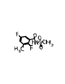 Cc1cc(F)cc(C(=O)NS(C)(=O)=O)c1F